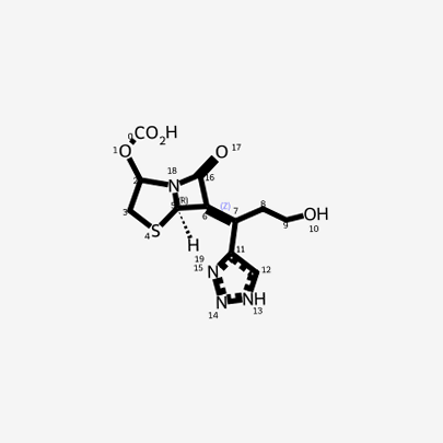 O=C(O)OC1CS[C@@H]2/C(=C(/CCO)c3c[nH]nn3)C(=O)N12